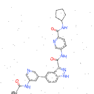 CCC(C)C(=O)Nc1cncc(-c2ccc3[nH]nc(C(=O)Nc4ccc(C(=O)NC5CCCC5)nc4)c3c2)c1